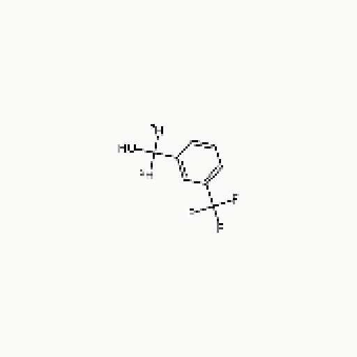 [2H]C([2H])(O)c1cccc(C(F)(F)F)c1